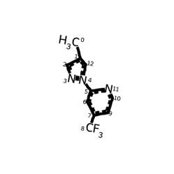 Cc1cnn(-c2cc(C(F)(F)F)ccn2)c1